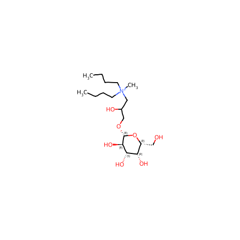 CCCC[N+](C)(CCCC)CC(O)CO[C@@H]1O[C@H](CO)[C@H](O)[C@H](O)[C@H]1O